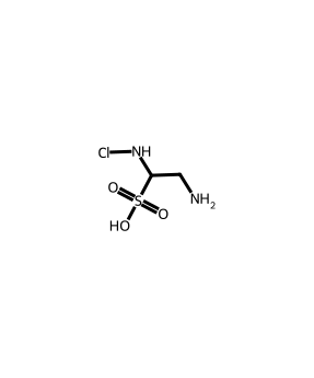 NCC(NCl)S(=O)(=O)O